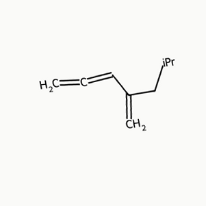 C=C=CC(=C)CC(C)C